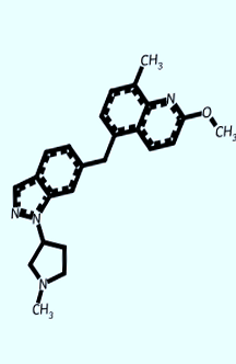 COc1ccc2c(Cc3ccc4cnn(C5CCN(C)C5)c4c3)ccc(C)c2n1